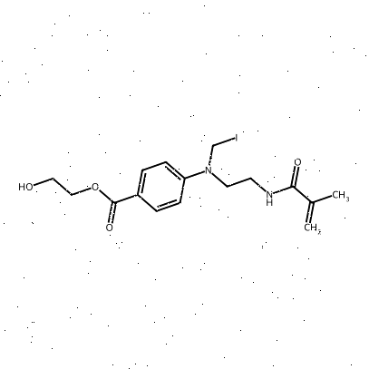 C=C(C)C(=O)NCCN(CI)c1ccc(C(=O)OCCO)cc1